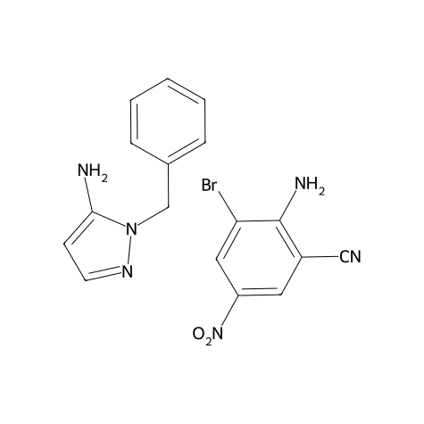 N#Cc1cc([N+](=O)[O-])cc(Br)c1N.Nc1ccnn1Cc1ccccc1